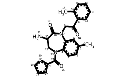 Cc1ccc2c(c1)N(CC(=O)c1ccccc1C)C(=O)C(N)CN2C(=O)c1cccs1